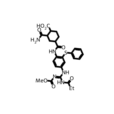 CCC(=O)NC(=NC(=O)OC)Nc1ccc(NC(=O)C2CCC(C(=O)O)C(C(N)=O)C2)c(Sc2ccccc2)c1